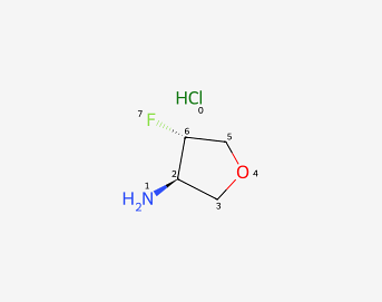 Cl.N[C@@H]1COC[C@H]1F